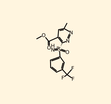 COC(=O)c1cc(C)nnc1[S@](=N)(=O)c1cccc(C(F)(F)F)c1